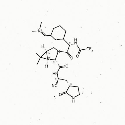 C[N+](C)=CC1CCCC([C@H](NC(=O)C(F)(F)F)C(=O)N2C[C@H]3[C@@H]([C@H]2C(=O)N[C@H](C#N)C[C@@H]2CCNC2=O)C3(C)C)C1